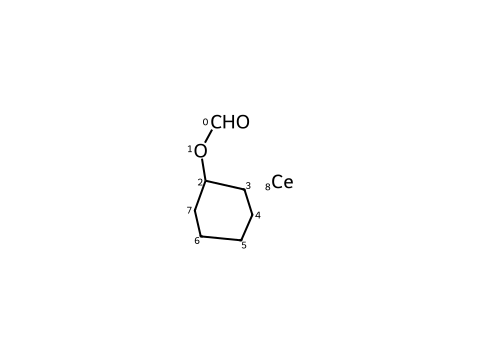 O=COC1CCCCC1.[Ce]